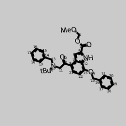 COCOC(=O)c1cc2c(C(=O)CN(Cc3ccccc3)C(C)(C)C)ccc(OCc3ccccc3)c2[nH]1